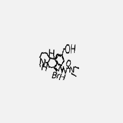 CCN(CC)C(=O)Nn1c(Br)c2c3c(cc(CO)cc31)[C@H]1CCCN(C)[C@@H]1C2